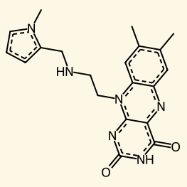 Cc1cc2nc3c(=O)[nH]c(=O)nc-3n(CCNCc3cccn3C)c2cc1C